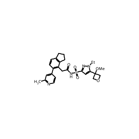 CCn1nc(S(=O)(=O)NC(=O)Cc2c(-c3ccnc(C)c3)ccc3c2CCC3)cc1C1(OC)COC1